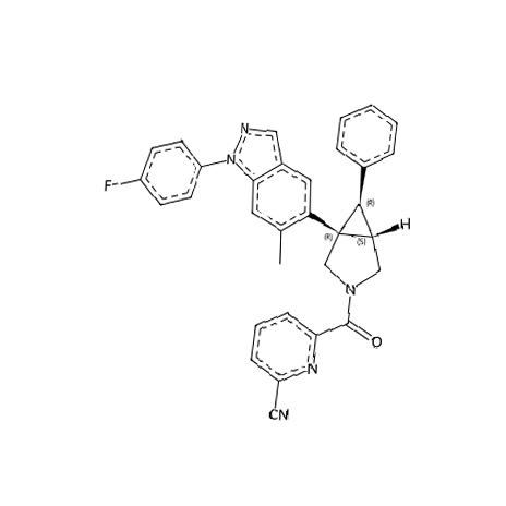 Cc1cc2c(cnn2-c2ccc(F)cc2)cc1[C@]12CN(C(=O)c3cccc(C#N)n3)C[C@H]1[C@@H]2c1ccccc1